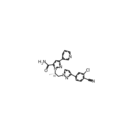 C[C@@H](Cn1ccc(-c2ccc(C#N)c(Cl)c2)n1)n1nc(-c2cccnc2)cc1C(N)=O